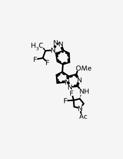 COc1nc(N[C@@H]2CN(C(C)=O)CC2(F)F)nn2ccc(-c3ccc4nnn([C@H](C)C(F)F)c4c3)c12